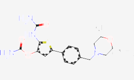 C[C@@H]1CN(Cc2ccc(-c3cc(OC(N)=O)c(NC(N)=O)s3)cc2)C[C@H](C)O1